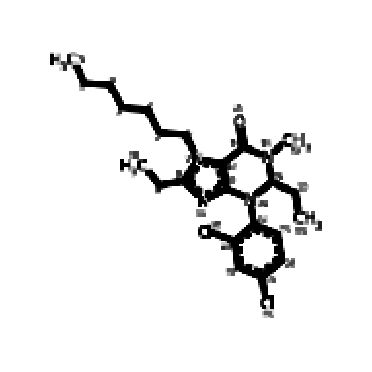 CCCCCCCn1c(CC)nc2c1C(=O)N(C)C(CC)N2c1ccc(Cl)cc1Cl